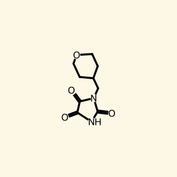 O=C1NC(=O)N(CC2CCOCC2)C1=O